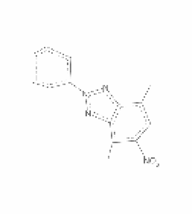 Cc1cc([N+](=O)[O-])c(C)c2nn(-c3ccccc3)nc12